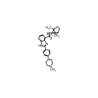 CN1CCN(c2ccc(-c3nc4c(C(=O)N[C@H]5CC6CC[C@]5(C)C6(C)C)ccnc4[nH]3)cc2)CC1